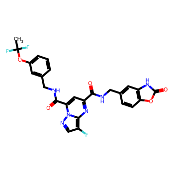 CC(F)(F)Oc1cccc(CNC(=O)c2cc(C(=O)NCc3ccc4oc(=O)[nH]c4c3)nc3c(F)cnn23)c1